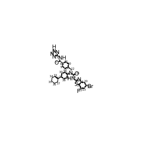 O=C(Nc1nn[nH]n1)c1ccc(CN(C(=O)Nc2nc3cc(Br)cc(F)c3s2)c2ccc(C3=CCCCC3)cc2)cc1